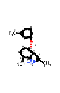 Cc1cc2c(Oc3cccc(C(F)(F)F)c3)ccc(C#N)c2[nH]1